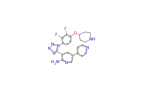 Nc1ncc(-c2ccncc2)cc1-c1nnnn1-c1ccc(OC2CCNCC2)c(F)c1F